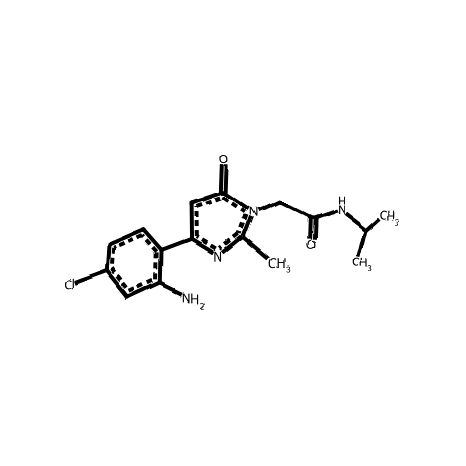 Cc1nc(-c2ccc(Cl)cc2N)cc(=O)n1CC(=O)NC(C)C